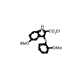 CCOC(=O)c1[nH]c2ccc(OC)cc2c1Sc1ccccc1OC